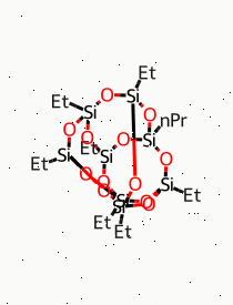 CCC[Si]12O[Si]3(CC)O[Si]4(CC)O[Si]5(CC)O[Si](CC)(O3)O[Si](CC)(O[Si](CC)(O5)O[Si](CC)(O4)O1)O2